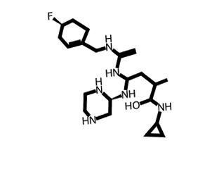 C=C(NCC1=CC[C@@H](F)CC1)NC(CC(C)C(O)NC1CC1)N[C@H]1CNCCN1